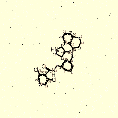 O=C(NCc1cccc(CN(C2CCNC2)C2CCCc3cccnc32)c1)c1c(Cl)cncc1Cl